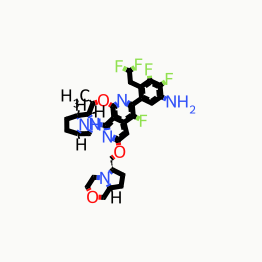 C[C@@H]1Oc2nc(-c3cc(N)c(F)c(F)c3CC(F)F)c(F)c3cc(OC[C@@H]4CC[C@H]5COCCN54)nc(c23)N2C[C@H]3CC[C@H](N3)[C@@H]12